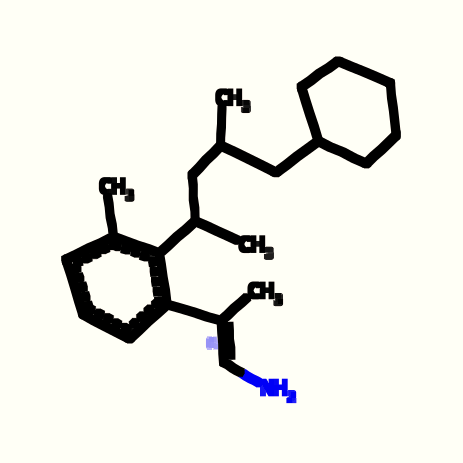 C/C(=C\N)c1cccc(C)c1C(C)CC(C)CC1CCCCC1